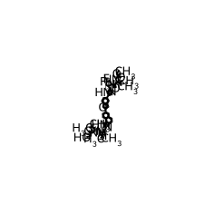 COC(=O)N[C@H](C(=O)N1CC(F)(F)C[C@H]1c1ncc(-c2ccc3oc(-c4ccc5c(ccc6nc([C@@H]7C[Si](C)(C)CN7C[C@@H](NC(=O)CO)C(C)C)[nH]c65)c4)cc3c2)[nH]1)C(C)C